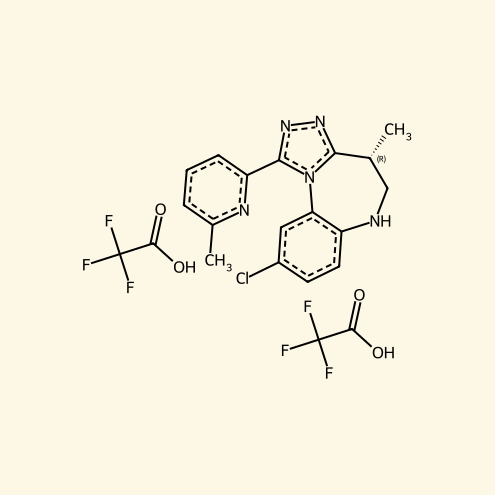 Cc1cccc(-c2nnc3n2-c2cc(Cl)ccc2NC[C@H]3C)n1.O=C(O)C(F)(F)F.O=C(O)C(F)(F)F